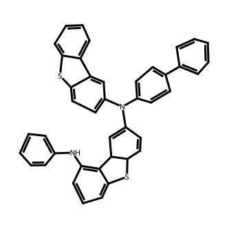 C1=CC2Sc3cccc(Nc4ccccc4)c3C2C=C1N(c1ccc(-c2ccccc2)cc1)c1ccc2sc3ccccc3c2c1